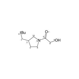 CC(C)(C)CC1CCN(C(=O)CO)C1